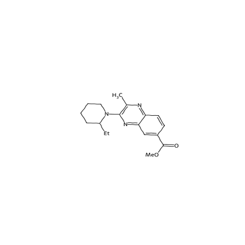 CCC1CCCCN1c1nc2cc(C(=O)OC)ccc2nc1C